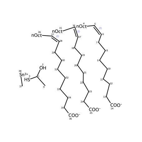 CC(O)S.CCCCCCCC/C=C\CCCCCCCC(=O)[O-].CCCCCCCC/C=C\CCCCCCCC(=O)[O-].CCCCCCCC/C=C\CCCCCCCC(=O)[O-].[CH3][Sn+3]